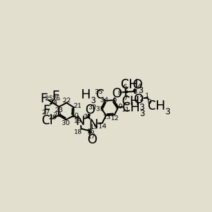 CCOC(=O)C(C)(C)Oc1c(C)cc(CN2C(=O)CN(C3=CCC(C(F)(F)F)C(Cl)=C3)C2=O)cc1C